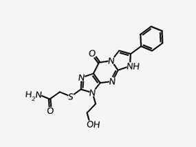 NC(=O)CSc1nc2c(=O)n3cc(-c4ccccc4)[nH]c3nc2n1CCO